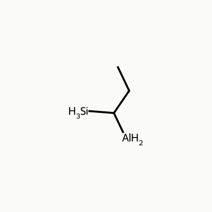 CC[CH]([AlH2])[SiH3]